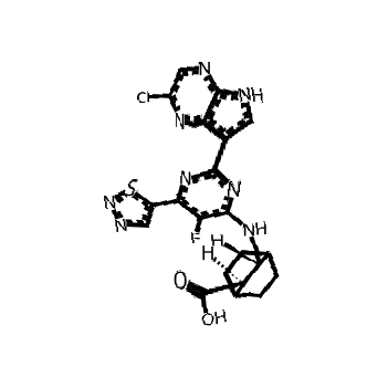 O=C(O)[C@@H]1C2CCC(CC2)[C@H]1Nc1nc(-c2c[nH]c3ncc(Cl)nc23)nc(-c2cnns2)c1F